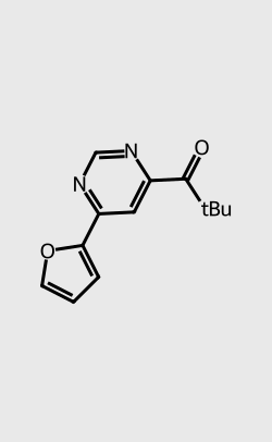 CC(C)(C)C(=O)c1cc(-c2ccco2)ncn1